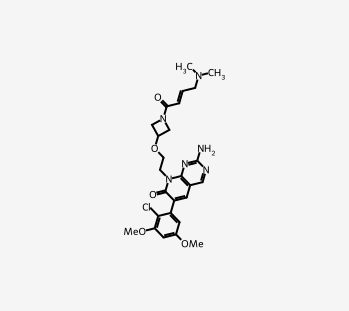 COc1cc(OC)c(Cl)c(-c2cc3cnc(N)nc3n(CCOC3CN(C(=O)C=CCN(C)C)C3)c2=O)c1